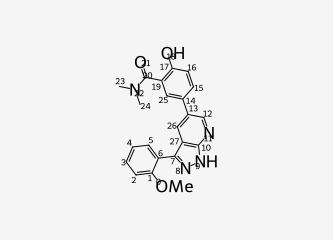 COc1ccccc1-c1n[nH]c2ncc(-c3ccc(O)c(C(=O)N(C)C)c3)cc12